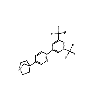 FC(F)(F)c1cc(-c2ccc(C34CCN(CC3)C4)cn2)cc(C(F)(F)F)c1